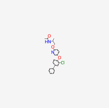 CC(=O)NC(C)COc1ccc(Oc2ccc(-c3ccccc3)cc2Cl)cn1